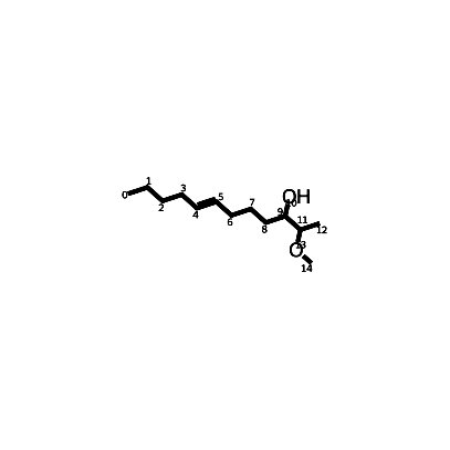 CCCCC=CCCCC(O)C(C)OC